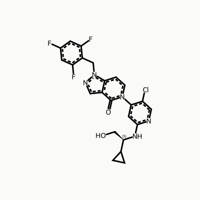 O=c1c2cnn(Cc3c(F)cc(F)cc3F)c2ccn1-c1cc(N[C@H](CO)C2CC2)ncc1Cl